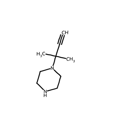 C#CC(C)(C)N1CCNCC1